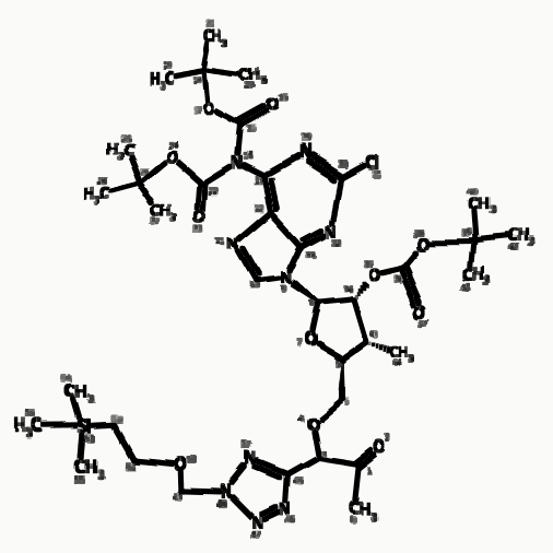 CC(=O)C(OC[C@H]1O[C@@H](n2cnc3c(N(C(=O)OC(C)(C)C)C(=O)OC(C)(C)C)nc(Cl)nc32)[C@H](OC(=O)OC(C)(C)C)[C@@H]1C)c1nnn(COCC[Si](C)(C)C)n1